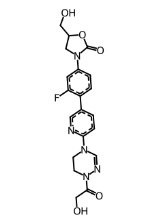 O=C(CO)N1CCN(c2ccc(-c3ccc(N4CC(CO)OC4=O)cc3F)cn2)C=N1